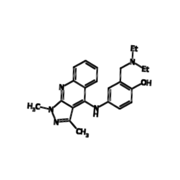 CCN(CC)Cc1cc(Nc2c3ccccc3nc3c2c(C)nn3C)ccc1O